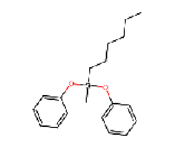 CCCCCC[Si](C)(Oc1ccccc1)Oc1ccccc1